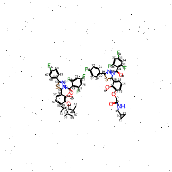 COc1c(OCC(=O)NCC2CC2)cccc1C1SC(c2ccc(F)cc2)=NN1C(=O)c1c(F)cc(F)cc1F.COc1c(O[Si](C(C)C)(C(C)C)C(C)C)cccc1C1SC(c2ccc(F)cc2)=NN1C(=O)c1c(F)cc(F)cc1F